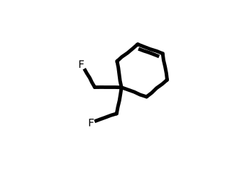 FCC1(CF)CC=CCC1